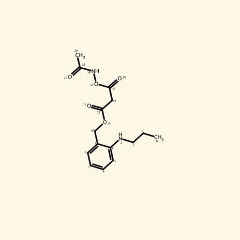 CCCNc1ccccc1COC(=O)CC(=O)ONC(C)=O